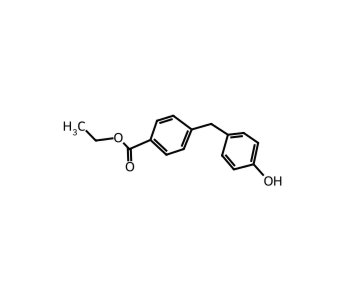 CCOC(=O)c1ccc(Cc2ccc(O)cc2)cc1